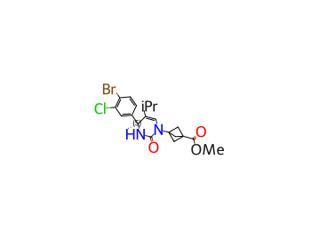 COC(=O)C12CC(N3C=C(C(C)C)[C@](C)(c4ccc(Br)c(Cl)c4)NC3=O)(C1)C2